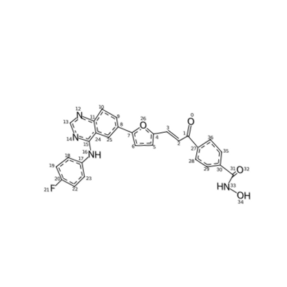 O=C(C=Cc1ccc(-c2ccc3ncnc(Nc4ccc(F)cc4)c3c2)o1)c1ccc(C(=O)NO)cc1